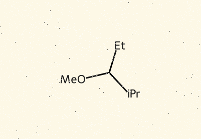 [CH2]C(C)C(CC)OC